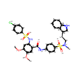 COc1cc(NS(=O)(=O)c2ccc(Cl)cc2)c(C(=O)Nc2ccc(S(=O)(=O)N(C)CCc3c[nH]c4ccccc34)cc2)cc1OC